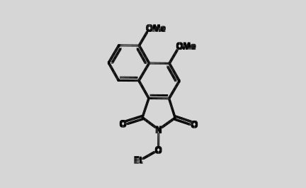 CCON1C(=O)c2cc(OC)c3c(OC)cccc3c2C1=O